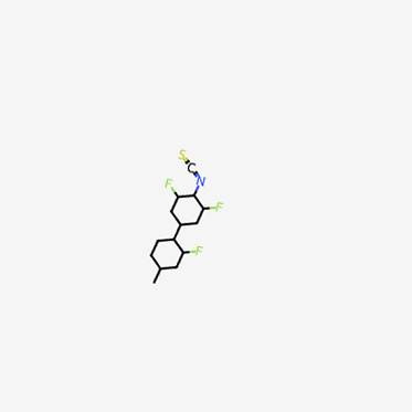 CC1CCC(C2CC(F)C(N=C=S)C(F)C2)C(F)C1